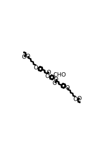 C=CC(=O)OCCCCCCOc1ccc(/C=C/C(=O)Oc2ccc(OC(=O)/C=C/c3ccc(OCCCCCCOC(=O)C=C)cc3)c(C=O)c2)cc1